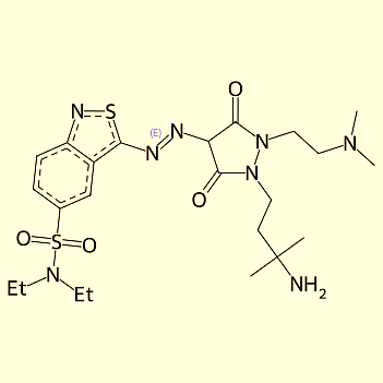 CCN(CC)S(=O)(=O)c1ccc2nsc(/N=N/C3C(=O)N(CCN(C)C)N(CCC(C)(C)N)C3=O)c2c1